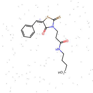 O=C(O)CCCNC(=O)CCN1C(=O)/C(=C\c2ccccc2)SC1=S